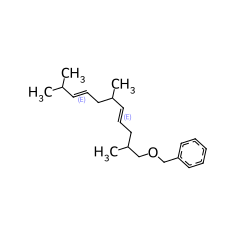 CC(C)/C=C/CC(C)/C=C/CC(C)COCc1ccccc1